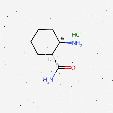 Cl.NC(=O)[C@@H]1CCCC[C@H]1N